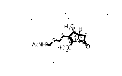 CC(=O)NCSCCC1=C(C(=O)O)N2C(=O)C[C@H]2[C@@H]1C